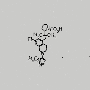 Cn1nccc1N1CCc2c(cc(Cl)cc2CC(C)(C)[C@@H]2CCCN2C(=O)O)C1